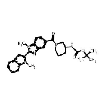 Cn1c(-c2nc3cc(C(=O)N4CCC[C@H](NC(=O)OC(C)(C)C)C4)ccc3n2C)cc2ccccc21